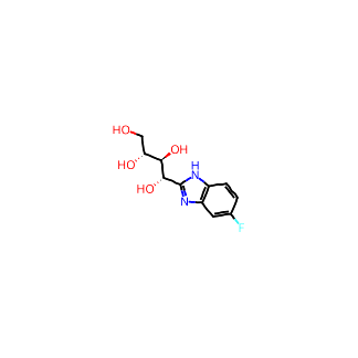 OC[C@@H](O)[C@@H](O)[C@@H](O)c1nc2cc(F)ccc2[nH]1